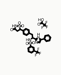 O=C(O)C(F)(F)F.O=C1CC(c2ccc(CC(NS(=O)(=O)c3cccc(C(F)(F)F)c3)c3ncc(-c4ccccc4)[nH]3)cc2)S(=O)(=O)N1